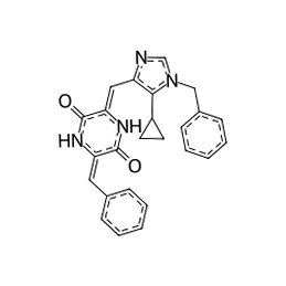 O=c1[nH]c(=Cc2ncn(Cc3ccccc3)c2C2CC2)c(=O)[nH]c1=Cc1ccccc1